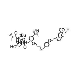 Cc1ncsc1-c1ccc(CNC(=O)[C@@H]2C[C@@H](O)CN2C(=O)[C@@H](NC(=O)C2(F)CC2)C(C)(C)C)c(OCCCN(C)Cc2ccc(OCCn3ccc4ccc(C(=O)O)cc43)cc2)c1